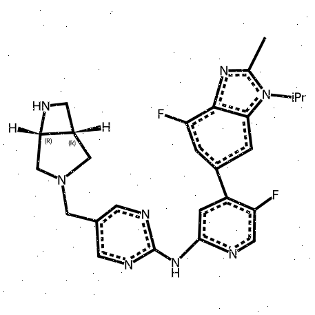 Cc1nc2c(F)cc(-c3cc(Nc4ncc(CN5C[C@H]6CN[C@H]6C5)cn4)ncc3F)cc2n1C(C)C